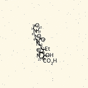 CCc1c(C=NN2CC(CN3CCOCC3)OC2=O)oc2ncc(C(=O)O)c(O)c12